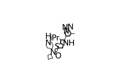 Cc1cc(-c2[nH]c3cc(C(=O)N(C4CCC4)C4CCNCC4)sc3c2C(C)C)cn2ncnc12